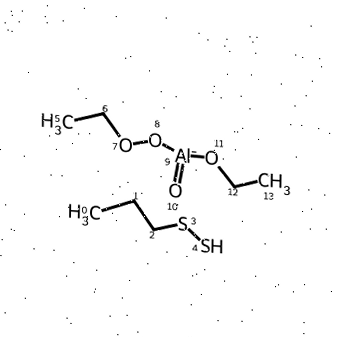 CCCSS.CCO[O][Al-](=[O])[O]CC